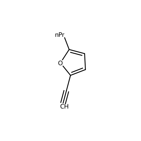 C#Cc1ccc(CCC)o1